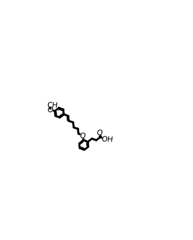 COc1ccc(/C=C/CCCCOc2ccccc2CCC(=O)O)cc1